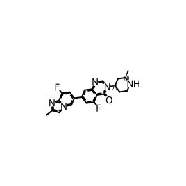 Cc1cn2cc(-c3cc(F)c4c(=O)n([C@@H]5CCN[C@H](C)C5)cnc4c3)cc(F)c2n1